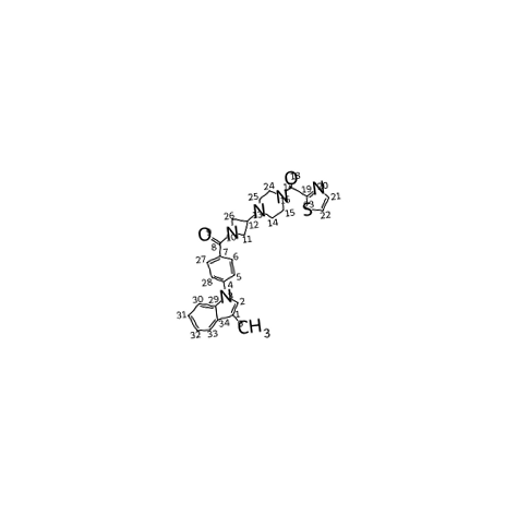 Cc1cn(-c2ccc(C(=O)N3CC(N4CCN(C(=O)c5nccs5)CC4)C3)cc2)c2ccccc12